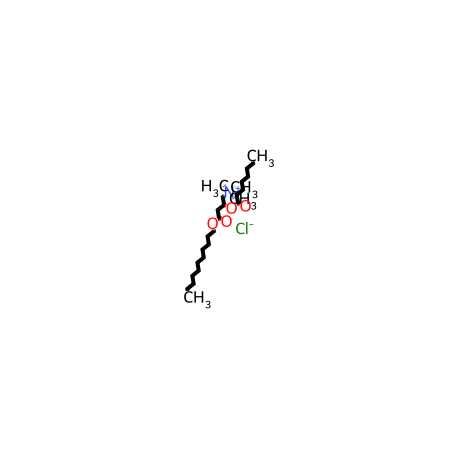 CCCCCCCCCCCOC(=O)CC(C[N+](C)(C)C)OC(=O)CCCCCCC.[Cl-]